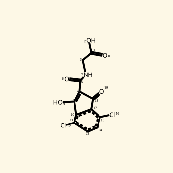 O=C(O)CNC(=O)C1=C(O)c2c(Cl)ccc(Cl)c2C1=O